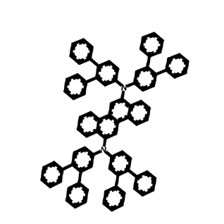 c1ccc(-c2ccc(N(c3ccc(-c4ccccc4)c(-c4ccccc4)c3)c3cc4c5ccccc5c(N(c5ccc(-c6ccccc6)c(-c6ccccc6)c5)c5ccc(-c6ccccc6)c(-c6ccccc6)c5)cc4c4ccccc34)cc2-c2ccccc2)cc1